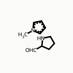 Cn1cccc1.O=CC1CCCN1